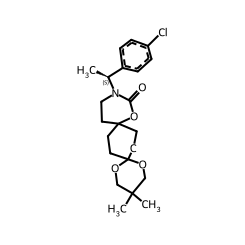 C[C@@H](c1ccc(Cl)cc1)N1CCC2(CCC3(CC2)OCC(C)(C)CO3)OC1=O